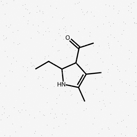 CCC1NC(C)=C(C)C1C(C)=O